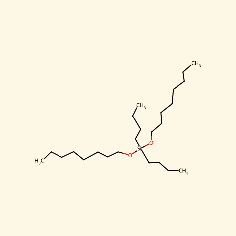 CCCCCCCCO[Si](CCCC)(CCCC)OCCCCCCCC